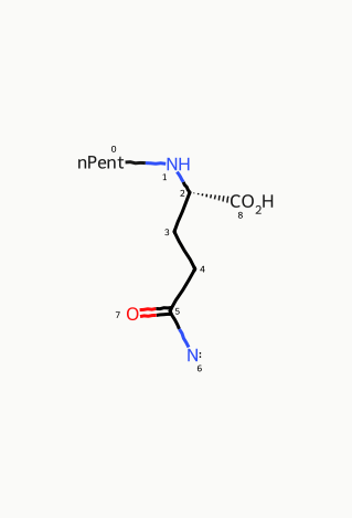 CCCCCN[C@@H](CCC([N])=O)C(=O)O